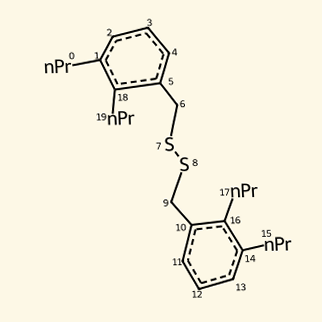 CCCc1cccc(CSSCc2cccc(CCC)c2CCC)c1CCC